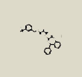 CC(C(=O)NCc1cccc(C(F)(F)F)c1)C(=O)NC1N=C(c2ccccc2)c2ccccc2N(C)C1=O